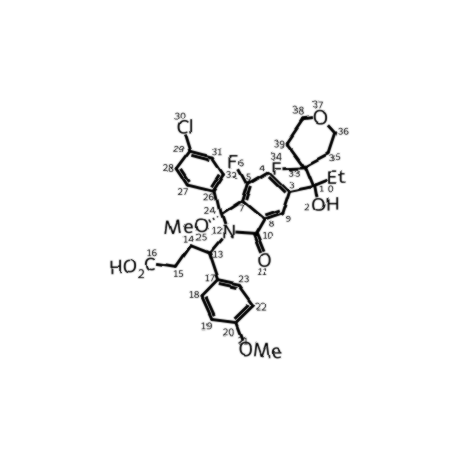 CCC(O)(c1cc(F)c2c(c1)C(=O)N(C(CCC(=O)O)c1ccc(OC)cc1)[C@@]2(OC)c1ccc(Cl)cc1)C1(F)CCOCC1